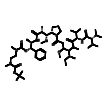 CC[C@H](C)[C@@H](C(CC(=O)N1CCC[C@H]1[C@H](OC)[C@@H](C)C(=O)N[C@H](C)[C@@H](OC(=O)N(C)CCN(C)C(=O)OC(C)(C)C)c1ccccc1)OC)N(C)C(=O)[C@@H](NC(=O)[C@H](C(C)C)N(C)C)C(C)C